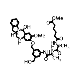 COC(=O)CCCCC(=O)N[C@@H](C)C(=O)N[C@@H](C)C(=O)Nc1cc(CO)cc(COc2cc3c(cc2OC)C(O)N2c4ccccc4C[C@H]2CN3)c1